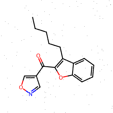 CCCCCc1c(C(=O)c2cnoc2)oc2ccccc12